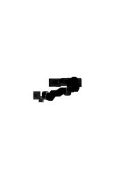 C=CCCCON1C=NCC1.O=S(=O)(O)O